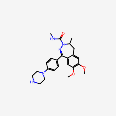 CNC(=O)N1N=C(c2ccc(N3CCNCC3)cc2)c2cc(OC)c(OC)cc2CC1C